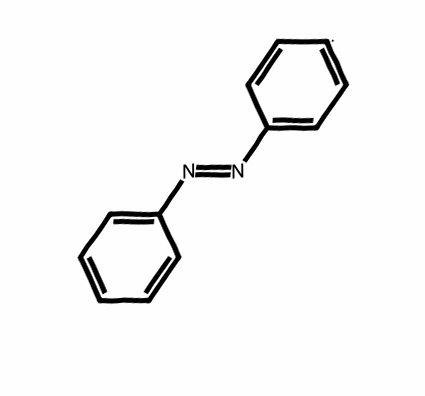 [c]1ccc(N=Nc2ccccc2)cc1